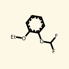 CCOc1c[c]ccc1OC(F)F